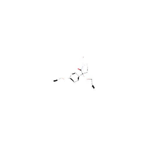 C#CCOc1ccc(C(CC)(OCC#C)C(=O)NOC)cc1